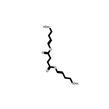 CCCCCCCCCCCCC=COC(=O)CCC(=O)OC=CCCCCCCCCCCCC